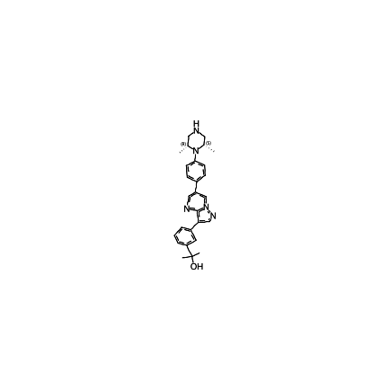 C[C@@H]1CNC[C@H](C)N1c1ccc(-c2cnc3c(-c4cccc(C(C)(C)O)c4)cnn3c2)cc1